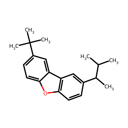 CC(C)C(C)c1ccc2oc3ccc(C(C)(C)C)cc3c2c1